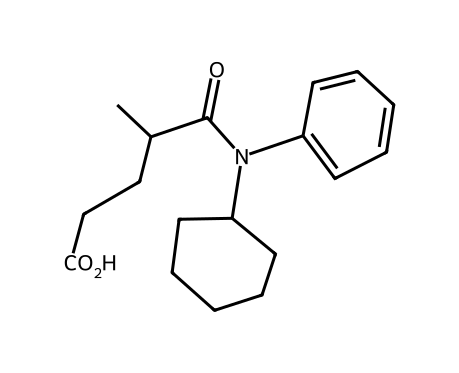 CC(CCC(=O)O)C(=O)N(c1ccccc1)C1CCCCC1